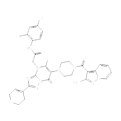 CCc1c(N2CCN(C(=O)c3c(O)nn4ccccc34)CC2)c(=O)n2nc(C3=CCOCC3)nc2n1CC(=O)Nc1ccc(C(F)(F)F)cc1Cl